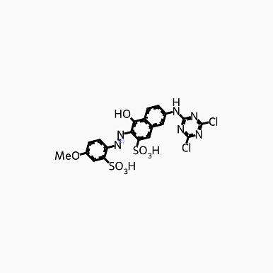 COc1ccc(/N=N/c2c(S(=O)(=O)O)cc3cc(Nc4nc(Cl)nc(Cl)n4)ccc3c2O)c(S(=O)(=O)O)c1